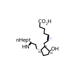 CCCCCCCC(=N)CC[C@H]1CC[C@H](O)[C@@H]1C/C=C\CCCC(=O)O